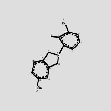 Cc1c(Br)cccc1N1Cc2ccc(C(C)(C)C)cc2C1